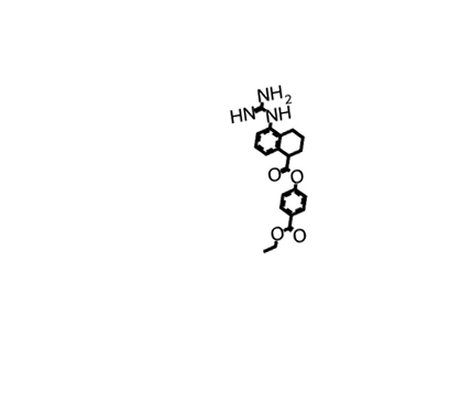 CCOC(=O)c1ccc(OC(=O)C2CCCc3c(NC(=N)N)cccc32)cc1